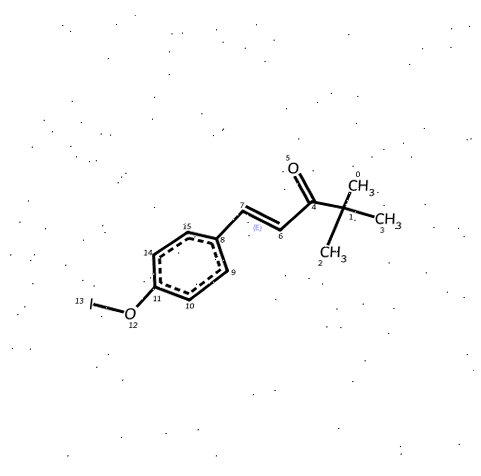 CC(C)(C)C(=O)/C=C/c1ccc(OI)cc1